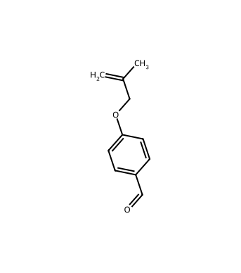 C=C(C)COc1ccc(C=O)cc1